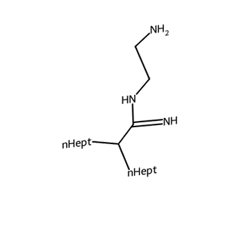 CCCCCCCC(CCCCCCC)C(=N)NCCN